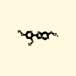 CCSc1cc(OC(C)C)cnc1-c1cn2cnc(SC(F)(F)F)cc2n1